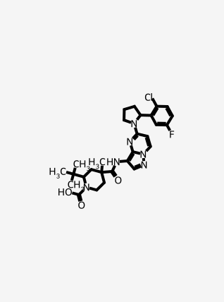 CC1(C(=O)Nc2cnn3ccc(N4CCCC4c4cc(F)ccc4Cl)nc23)CCN(C(=O)O)C(C(C)(C)C)C1